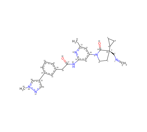 C=NC[C@@]1(C2CC2)CCN(c2cc(C)nc(NC(=O)Cc3cccc(-c4cnn(C)c4)c3)c2)C1=O